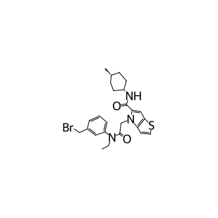 CCN(C(=O)Cn1c(C(=O)N[C@H]2CC[C@H](C)CC2)cc2sccc21)c1cccc(CBr)c1